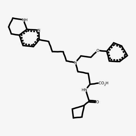 O=C(NC(CCN(CCCCc1ccc2c(n1)NCCC2)CCOc1ccccc1)C(=O)O)C1CCC1